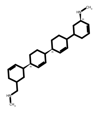 CNCC1CC=CC([C@@H]2C=CC([C@@H]3C=CC(C4CC=C[C@H](NC)C4)CC3)CC2)C1